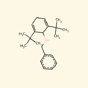 CC(C)(C)C1=CCC=C(C(C)(C)C)C1BCc1ccccc1